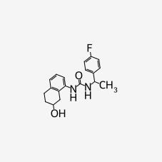 CC(NC(=O)Nc1cccc2c1CC(O)CC2)c1ccc(F)cc1